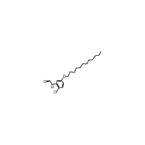 CCCCCCCCCCCCOc1ccc(Cl)c(N[C]=O)c1